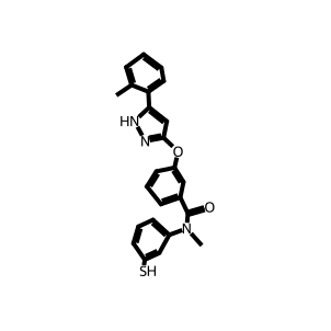 Cc1ccccc1-c1cc(Oc2cccc(C(=O)N(C)c3cccc(S)c3)c2)n[nH]1